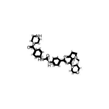 Cn1ccc2nc(-c3ccc(NC(=O)Nc4ccc(C(=O)N5CCNCC5)cc4)cc3)nc(N3CCOCC3)c21